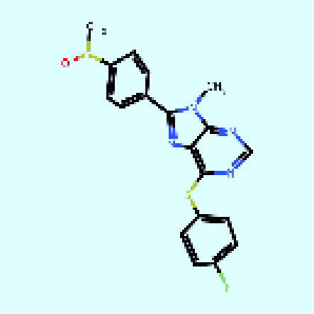 Cn1c(-c2ccc([S+](C)[O-])cc2)nc2c(Sc3ccc(F)cc3)ncnc21